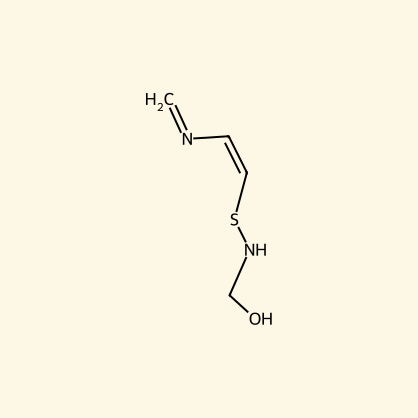 C=N/C=C\SNCO